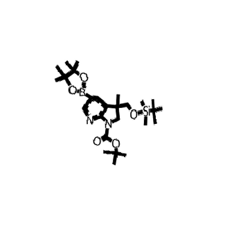 CC(C)(C)OC(=O)N1CC(C)(CO[Si](C)(C)C(C)(C)C)c2cc(B3OC(C)(C)C(C)(C)O3)cnc21